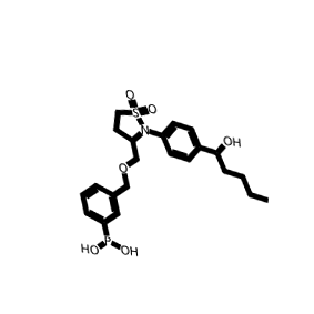 CCCCC(O)c1ccc(N2C(COCc3cccc(P(O)O)c3)CCS2(=O)=O)cc1